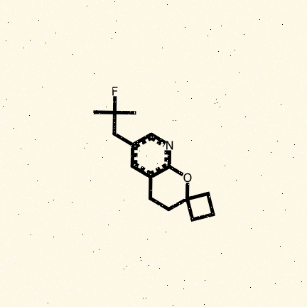 CC(C)(F)Cc1cnc2c(c1)CCC1(CCC1)O2